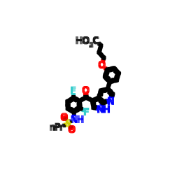 CCCS(=O)(=O)Nc1ccc(F)c(C(=O)c2c[nH]c3ncc(-c4cccc(OCCCC(=O)O)c4)cc23)c1F